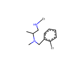 CCNCC(C)N(C)Cc1ccccc1CC